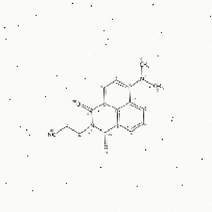 CN(C)c1ccc2c3c(cccc13)C(=O)N(CCC#N)C2=O